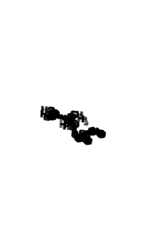 CC(C)Oc1cc(C(=O)NCCCOc2cccc(C(C(=O)OCC3CCN(Cc4ccccc4)CC3)c3ccccc3)c2)ccc1CN/C=C/c1ccc(O)c2[nH]c(=O)ccc12